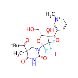 C[n+]1cccc(C(=O)[C@@]2(O)[C@@H](CO)O[C@@](F)(N3CC(C)(C(=O)C(C)(C)C)C(=O)NC3=O)C2(F)F)c1.[I-]